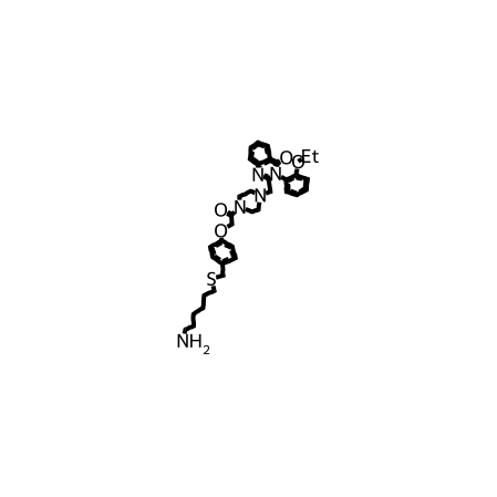 CCOc1ccccc1-n1c(CN2CCN(C(=O)COc3ccc(CSCCCCCCN)cc3)CC2)nc2ccccc2c1=O